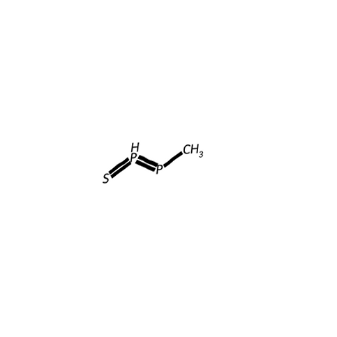 CP=[PH]=S